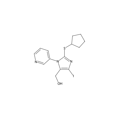 OCc1c(I)nc(SC2CCCC2)n1-c1cccnc1